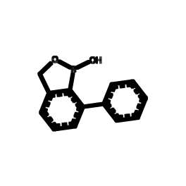 OB1OCc2cccc(-c3ccccc3)c21